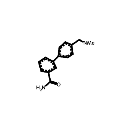 CNCc1ccc(-c2cccc(C(N)=O)c2)cc1